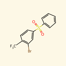 O=S(=O)(c1ccccc1)c1ccc(C(F)(F)F)c(Br)c1